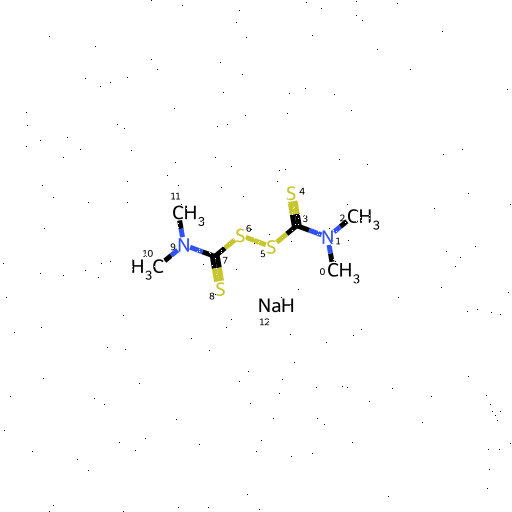 CN(C)C(=S)SSC(=S)N(C)C.[NaH]